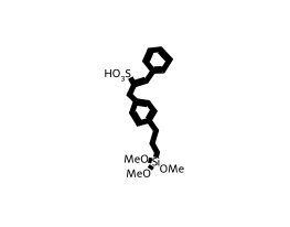 CO[Si](CCCc1ccc(CC(=Cc2ccccc2)S(=O)(=O)O)cc1)(OC)OC